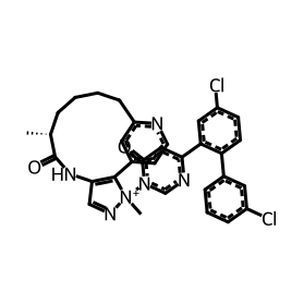 C[C@@H]1CCCCc2cc(ccn2)C2=C(C=N[N+]2(C)n2cnc(-c3cc(Cl)ccc3-c3cccc(Cl)c3)cc2=O)NC1=O